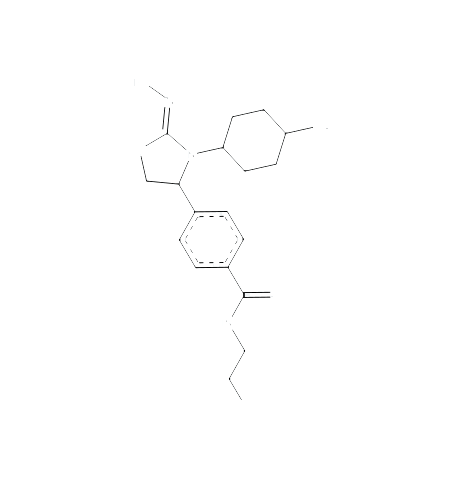 CC(C)(C)/N=C1\OCC(c2ccc(C(=O)NCCC(=O)O)cc2)N1C1CCC(C(C)(C)C)CC1